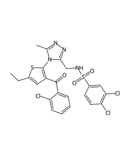 CCc1cc(C(=O)c2ccccc2Cl)c(-n2c(C)nnc2CNS(=O)(=O)c2ccc(Cl)c(Cl)c2)s1